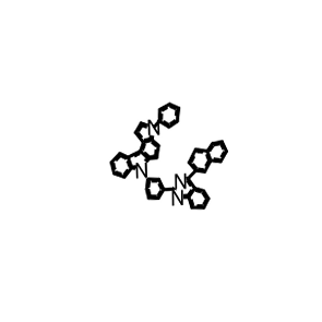 c1ccc(-n2ccc3c4c5ccccc5n(-c5cccc(-c6nc(-c7ccc8ccccc8c7)c7ccccc7n6)c5)c4ccc32)cc1